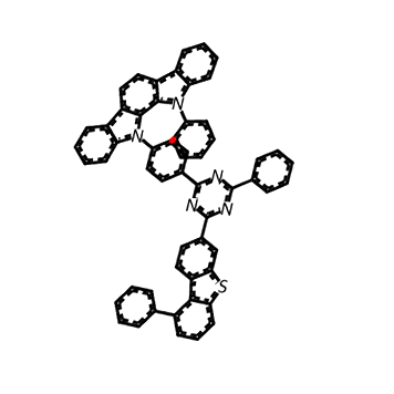 c1ccc(-c2nc(-c3ccc(-n4c5ccccc5c5ccc6c7ccccc7n(-c7ccccc7)c6c54)cc3)nc(-c3ccc4c(c3)sc3cccc(-c5ccccc5)c34)n2)cc1